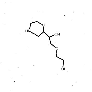 OCCOCC(O)C1CNCCO1